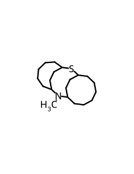 CN1C2CCCCCCC(CC2)SC2CCCCCC1CC2